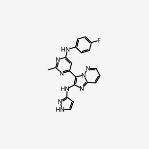 Cc1nc(Nc2ccc(F)cc2)cc(-c2c(Nc3cc[nH]n3)nc3cccnn23)n1